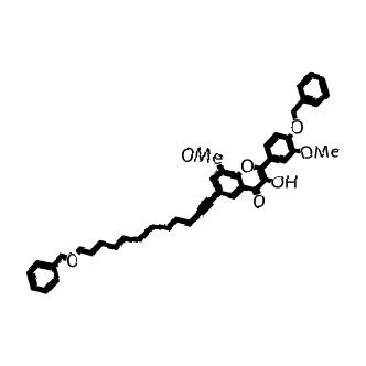 COc1cc(-c2oc3c(OC)cc(C#CCCCCCCCCCCOCc4ccccc4)cc3c(=O)c2O)ccc1OCc1ccccc1